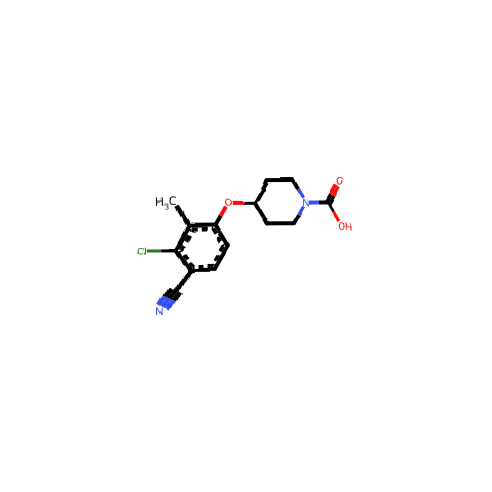 Cc1c(OC2CCN(C(=O)O)CC2)ccc(C#N)c1Cl